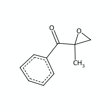 CC1(C(=O)c2ccccc2)CO1